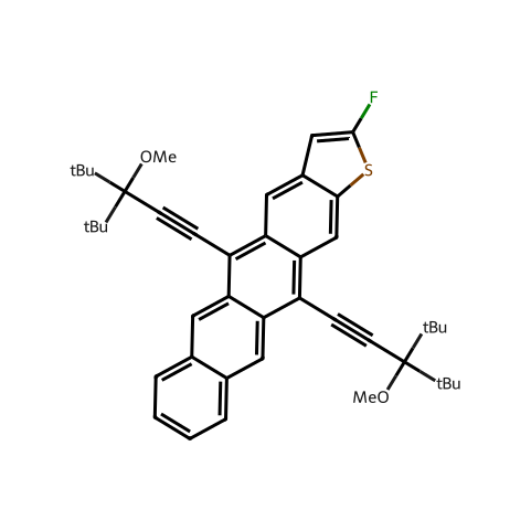 COC(C#Cc1c2cc3ccccc3cc2c(C#CC(OC)(C(C)(C)C)C(C)(C)C)c2cc3sc(F)cc3cc12)(C(C)(C)C)C(C)(C)C